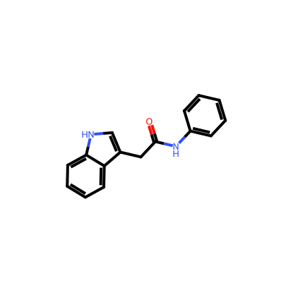 O=C(Cc1c[nH]c2ccccc12)Nc1ccccc1